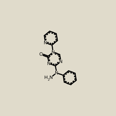 NN(c1ccccc1)c1ncn(-c2ccccn2)c(=O)n1